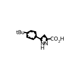 CC(C)(C)c1ccc(-c2cc(C(=O)O)n[nH]2)cc1